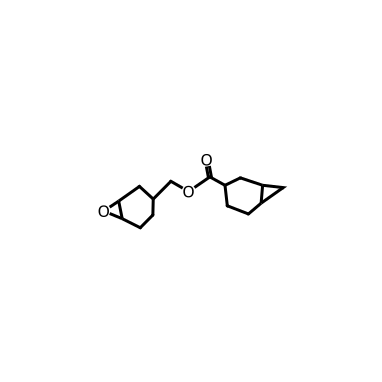 O=C(OCC1CCC2OC2C1)C1CCC2CC2C1